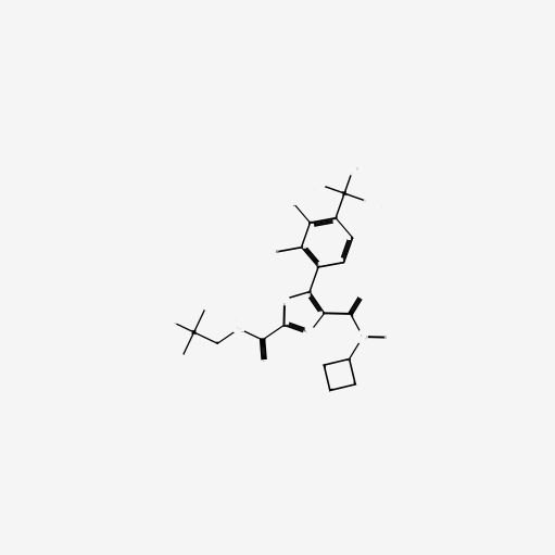 CCN(C(=O)c1nc(C(=O)NCC(C)(C)O)sc1-c1ccc(C(O)(C(F)(F)F)C(F)(F)F)c(Cl)c1Cl)C1CCC1